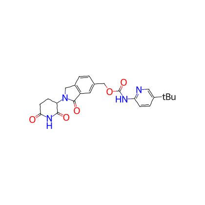 CC(C)(C)c1ccc(NC(=O)OCc2ccc3c(c2)C(=O)N(C2CCC(=O)NC2=O)C3)nc1